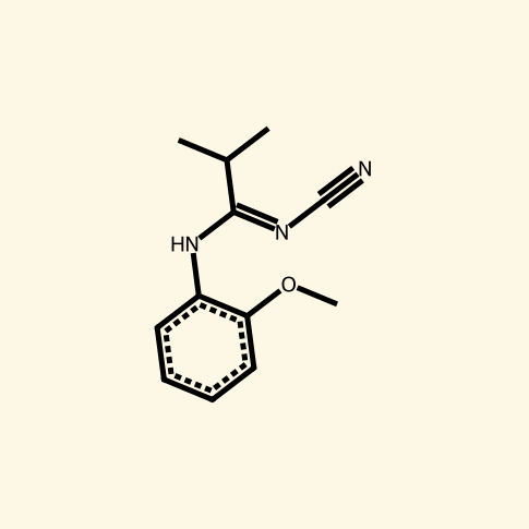 COc1ccccc1N/C(=N/C#N)C(C)C